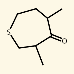 CC1CCSCC(C)C1=O